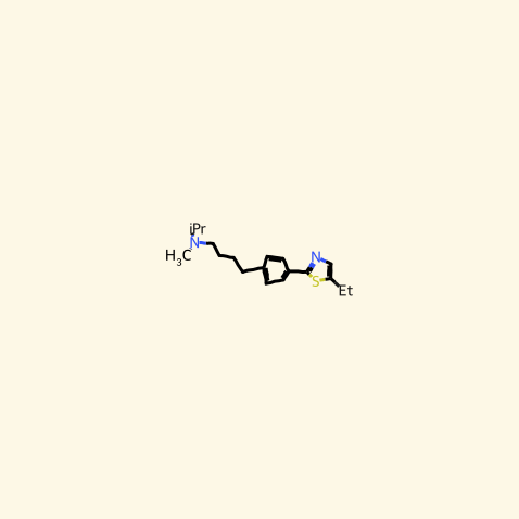 CCc1cnc(-c2ccc(CCCCN(C)C(C)C)cc2)s1